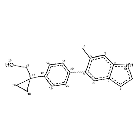 Cc1cc2[nH]ccc2cc1-c1ccc(C2(CO)CC2)cc1